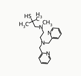 CN(CCN(Cc1ccccn1)Cc1ccccn1)CC(C)(C)S